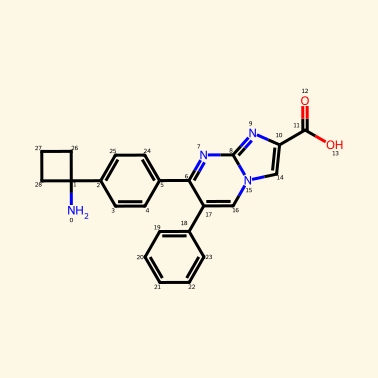 NC1(c2ccc(-c3nc4nc(C(=O)O)cn4cc3-c3ccccc3)cc2)CCC1